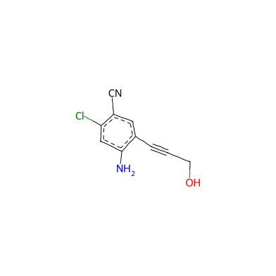 N#Cc1cc(C#CCO)c(N)cc1Cl